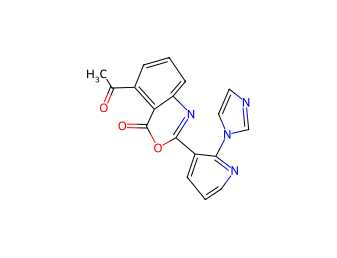 CC(=O)c1cccc2nc(-c3cccnc3-n3ccnc3)oc(=O)c12